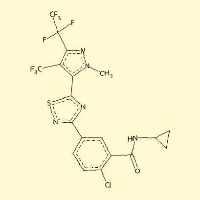 Cn1nc(C(F)(F)C(F)(F)F)c(C(F)(F)F)c1-c1nc(-c2ccc(Cl)c(C(=O)NC3CC3)c2)ns1